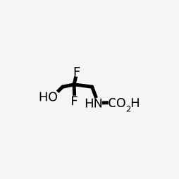 O=C(O)NCC(F)(F)CO